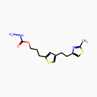 Cc1nc(CCc2csc(CCCOC(=O)NN)c2)cs1